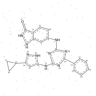 O=c1[nH][nH]c2cc(Nc3nc(Nc4cc(C5CC5)n[nH]4)nc(-c4ccccc4)n3)ccc12